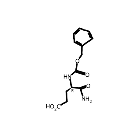 NC(=O)[C@@H](CCC(=O)O)NC(=O)OCc1ccccc1